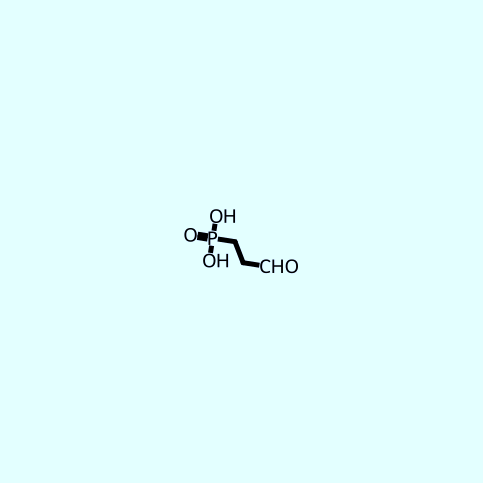 O=CCCP(=O)(O)O